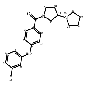 O=C(c1ccc(Oc2cccc(F)c2)cc1)N1CCC(N2CCCC2)C1